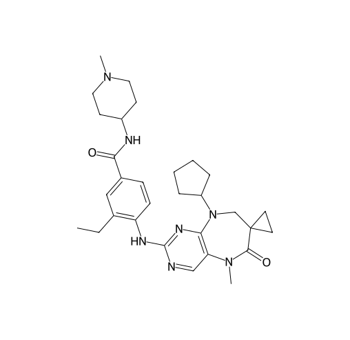 CCc1cc(C(=O)NC2CCN(C)CC2)ccc1Nc1ncc2c(n1)N(C1CCCC1)CC1(CC1)C(=O)N2C